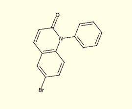 O=c1ccc2cc(Br)ccc2n1-c1ccccc1